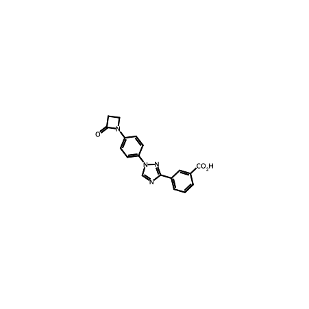 O=C(O)c1cccc(-c2ncn(-c3ccc(N4CCC4=O)cc3)n2)c1